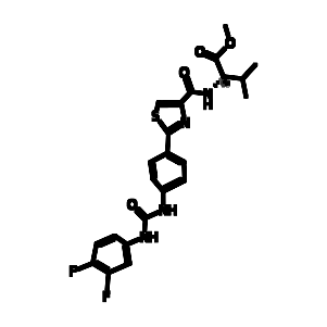 COC(=O)[C@@H](NC(=O)c1csc(-c2ccc(NC(=O)Nc3ccc(F)c(F)c3)cc2)n1)C(C)C